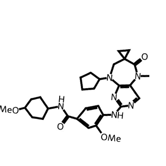 COc1cc(C(=O)NC2CCC(OC)CC2)ccc1Nc1ncc2c(n1)N(C1CCCC1)CC1(CC1)C(=O)N2C